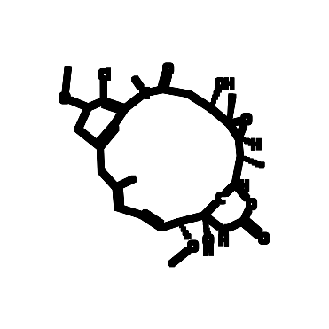 COC1CC2=CC(=C1Cl)N(C)C(=O)C[C@H](O)[C@]1(C)O[C@H]1[C@H](C)[C@@H]1C[C@@](O)(NC(=O)O1)[C@H](OC)/C=C/C=C(\C)C2